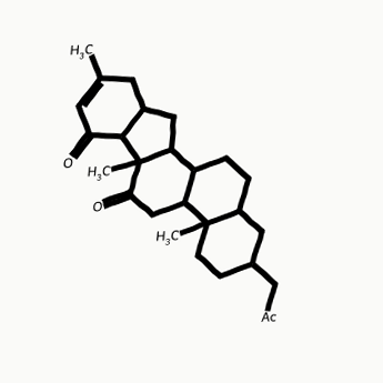 CC(=O)CC1CCC2(C)C(CCC3C2CC(=O)C2(C)C3CC3CC(C)=CC(=O)C32)C1